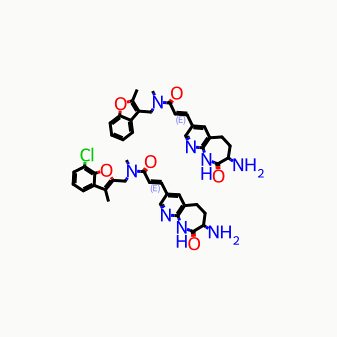 Cc1c(CN(C)C(=O)/C=C/c2cnc3c(c2)CCC(N)C(=O)N3)oc2c(Cl)cccc12.Cc1oc2ccccc2c1CN(C)C(=O)/C=C/c1cnc2c(c1)CCC(N)C(=O)N2